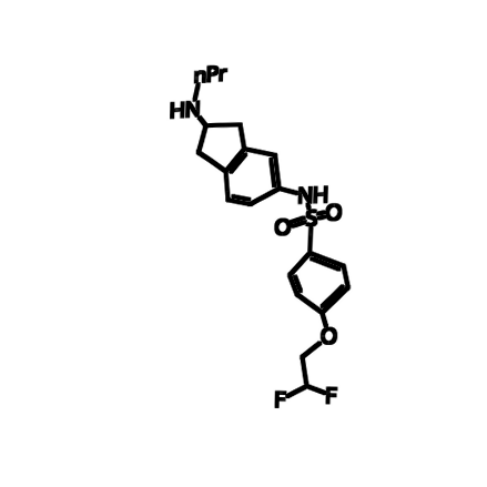 CCCNC1Cc2ccc(NS(=O)(=O)c3ccc(OCC(F)F)cc3)cc2C1